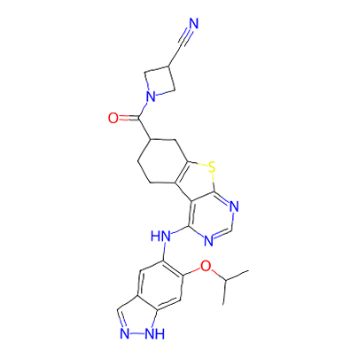 CC(C)Oc1cc2[nH]ncc2cc1Nc1ncnc2sc3c(c12)CCC(C(=O)N1CC(C#N)C1)C3